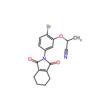 CC(C#N)Oc1cc(N2C(=O)C3=C(CCCC3)C2=O)ccc1Br